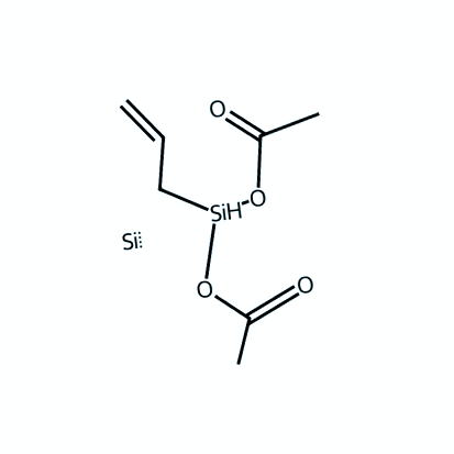 C=CC[SiH](OC(C)=O)OC(C)=O.[Si]